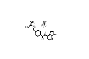 Cl.Cl.Cn1ccc2c(NC(=O)C3CCC(CNC(=N)N)CC3)ccnc21.O